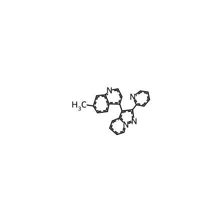 Cc1ccc2c(-c3c(-c4ccccn4)nn4ccccc34)ccnc2c1